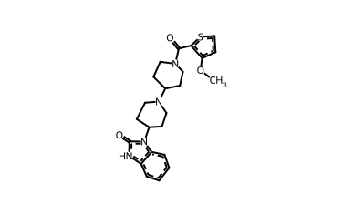 COc1ccsc1C(=O)N1CCC(N2CCC(n3c(=O)[nH]c4ccccc43)CC2)CC1